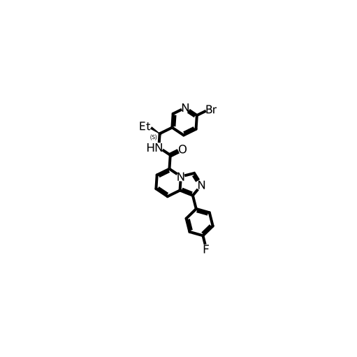 CC[C@H](NC(=O)c1cccc2c(-c3ccc(F)cc3)ncn12)c1ccc(Br)nc1